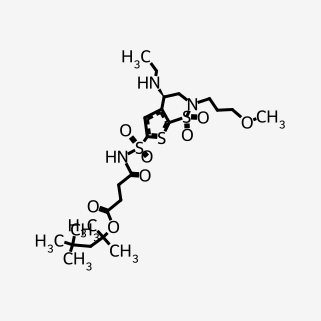 CCN[C@H]1CN(CCCOC)S(=O)(=O)c2sc(S(=O)(=O)NC(=O)CCC(=O)OC(C)(C)CC(C)(C)C)cc21